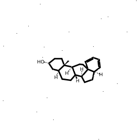 C[C@]12CC[C@@H](O)C[C@@H]1CC[C@H]1[C@@H]3CC[C@@H]4C=CC=CC43CC[C@@H]12